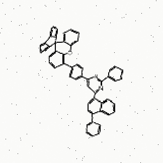 c1ccc(-c2nc(-c3ccc(-c4cccc5c4Oc4ccccc4C54c5ccccc5-c5ccccc54)cc3)cc(-c3ccc(-c4ccccc4)c4ccccc34)n2)cc1